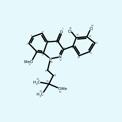 COc1cccc2c(=O)c(-c3cccc(Cl)c3Cl)nn(CCC(C)(C)OC)c12